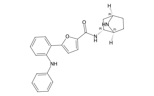 O=C(N[C@@H]1C[C@H]2CC[C@@H]1N2)c1ccc(-c2ccccc2Nc2ccccc2)o1